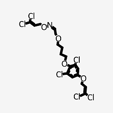 ClC(Cl)=CCO/N=C\COCCCCOc1c(Cl)cc(OCC=C(Cl)Cl)cc1Cl